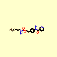 CCCCNC(=O)OCCc1ccc(NC(=O)c2cccnc2)cc1